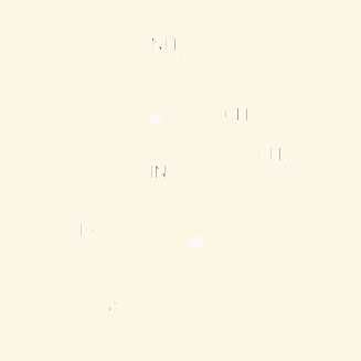 C=C/C(=C/C(C)C)N/C(C)=C/N